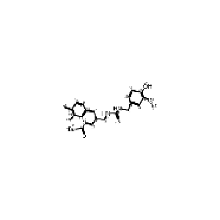 CCOc1cc(CNC(=S)NCC(COC(=O)C(C)(C)C)Cc2ccc(C)c(C)c2)ccc1O